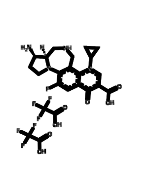 N[C@@H]1CCN2c3c(F)cc4c(=O)c(C(=O)O)cn(C5CC5)c4c3CNC[C@H]12.O=C(O)C(F)(F)F.O=C(O)C(F)(F)F